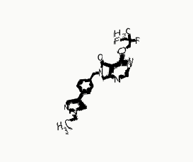 CCn1cc(-c2ccc(CN3Cc4ncnc(OCC(C)(F)F)c4C3=O)cc2)cn1